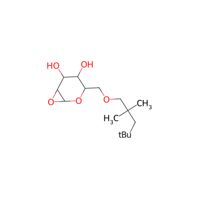 CC(C)(C)CC(C)(C)COCC1OC2OC2C(O)C1O